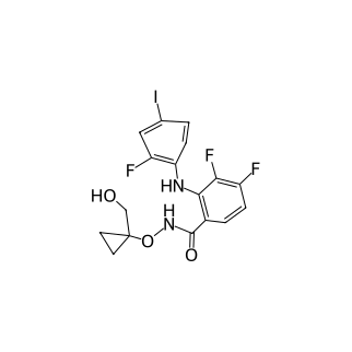 O=C(NOC1(CO)CC1)c1ccc(F)c(F)c1Nc1ccc(I)cc1F